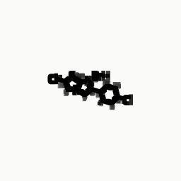 Br.Clc1ccc(-c2cn3cc(Cl)sc3n2)cc1